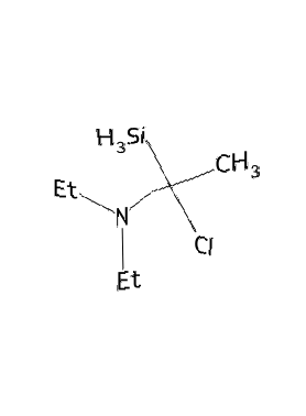 CCN(CC)C(C)([SiH3])Cl